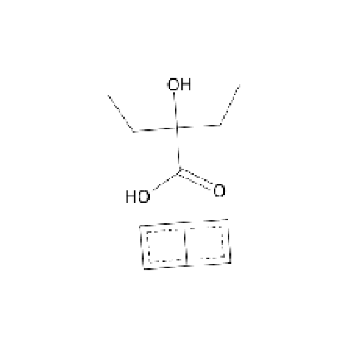 CCC(O)(CC)C(=O)O.c1cc2ccc1-2